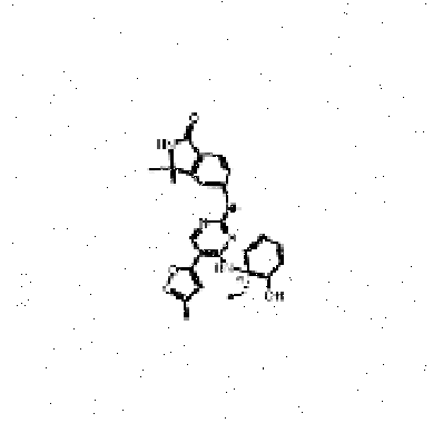 CC[C@]1(Nc2nc(Nc3ccc4c(c3)C(C)(C)NC4=O)ncc2-c2cc(C)no2)C=CC=CC1O